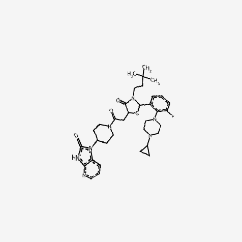 CC(C)(C)CCN1C(=O)C(CC(=O)N2CCC(n3c(=O)[nH]c4ncccc43)CC2)SC1c1cccc(F)c1N1CCN(C2CC2)CC1